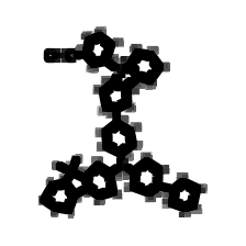 CC1(C)c2ccccc2-c2ccc(N(c3ccc(-c4ccccc4)cc3)c3ccc(-c4ccc5c(c4)c4ccccc4n5-c4cccc(C=O)c4)cc3)cc21